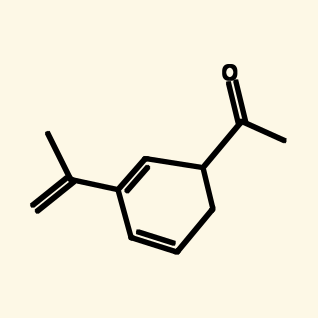 C=C(C)C1=CC(C(C)=O)CC=C1